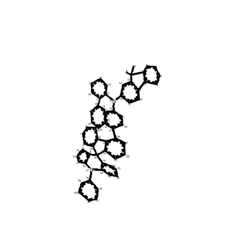 CC1(C)c2ccccc2-c2ccc(N(c3ccc(-c4cccc5c4-c4ccccc4C54c5ccccc5N(c5ccccc5)c5ccccc54)cc3)c3ccccc3-c3ccccc3)cc21